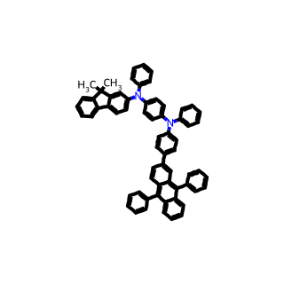 CC1(C)c2ccccc2-c2ccc(N(c3ccccc3)c3ccc(N(c4ccccc4)c4ccc(-c5ccc6c(-c7ccccc7)c7ccccc7c(-c7ccccc7)c6c5)cc4)cc3)cc21